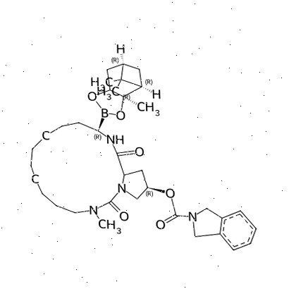 CN1CCCCCCCCC[C@@H](B2OC3C[C@H]4C[C@H](C4(C)C)[C@@]3(C)O2)NC(=O)C2C[C@@H](OC(=O)N3Cc4ccccc4C3)CN2C1=O